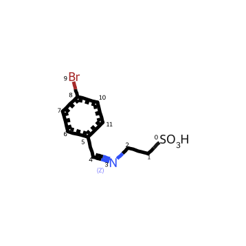 O=S(=O)(O)CC/N=C\c1ccc(Br)cc1